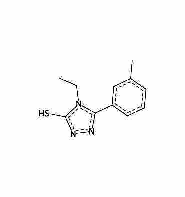 CCn1c(S)nnc1-c1cccc(C)c1